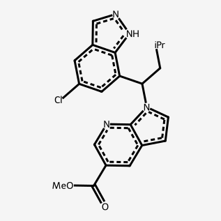 COC(=O)c1cnc2c(ccn2C(CC(C)C)c2cc(Cl)cc3cn[nH]c23)c1